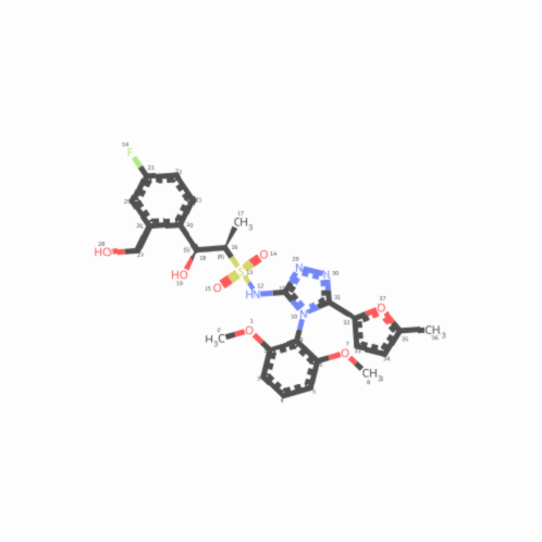 COc1cccc(OC)c1-n1c(NS(=O)(=O)[C@H](C)[C@@H](O)c2ccc(F)cc2CO)nnc1-c1ccc(C)o1